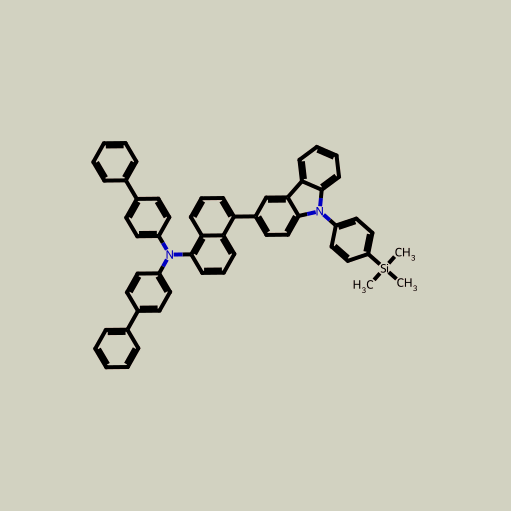 C[Si](C)(C)c1ccc(-n2c3ccccc3c3cc(-c4cccc5c(N(c6ccc(-c7ccccc7)cc6)c6ccc(-c7ccccc7)cc6)cccc45)ccc32)cc1